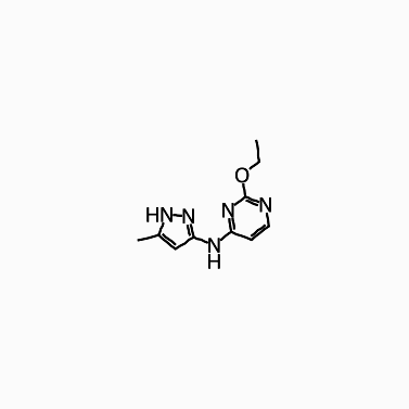 CCOc1nccc(Nc2cc(C)[nH]n2)n1